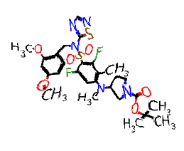 COc1ccc(CN(c2ncns2)S(=O)(=O)c2c(F)cc(N(C)C3CCN(C(=O)OC(C)(C)C)C3)c(C)c2F)c(OC)c1